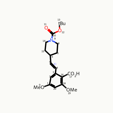 COc1cc(/C=C/C2CCN(C(=O)OC(C)(C)C)CC2)c(C(=O)O)c(OC)c1